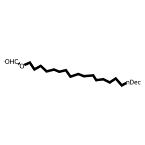 CCCCCCCCCCCCCCCCCCCCCCCCCCO[C]=O